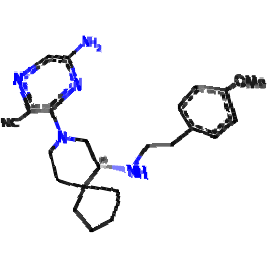 COc1ccc(CCN[C@H]2CN(c3nc(N)cnc3C#N)CCC23CCCC3)cc1